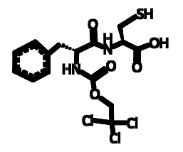 O=C(N[C@H](Cc1ccccc1)C(=O)N[C@@H](CS)C(=O)O)OCC(Cl)(Cl)Cl